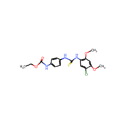 CCOC(=O)Nc1ccc(NC(=S)Nc2cc(Cl)c(OC)cc2OC)cc1